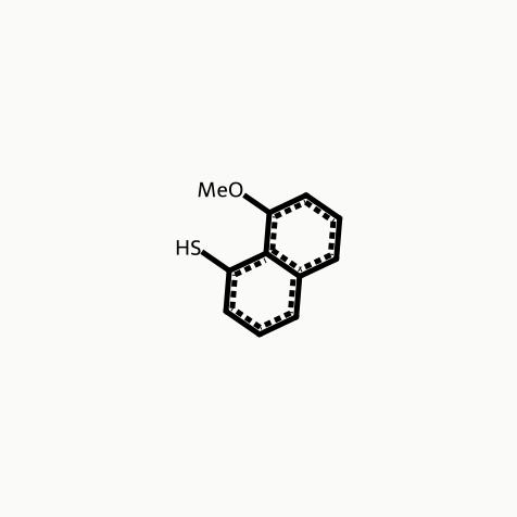 COc1cccc2cccc(S)c12